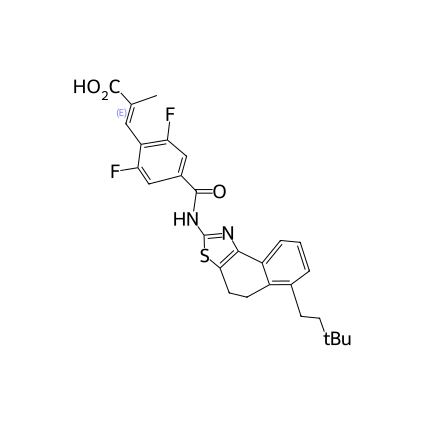 C/C(=C\c1c(F)cc(C(=O)Nc2nc3c(s2)CCc2c(CCC(C)(C)C)cccc2-3)cc1F)C(=O)O